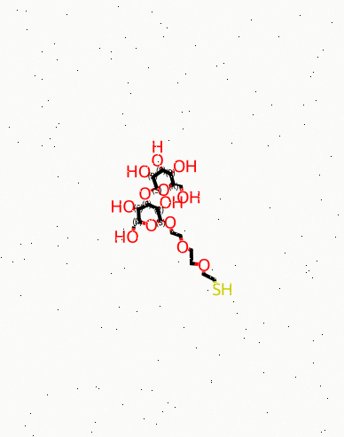 OC[C@H]1O[C@@H](O[C@H]2[C@@H](O)[C@@H](CO)O[C@H](OCCOCCOCCS)[C@@H]2O)[C@H](O)[C@@H](O)[C@H]1O